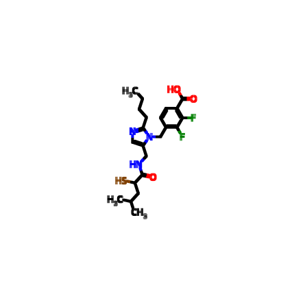 CCCCc1ncc(CNC(=O)C(S)CC(C)C)n1Cc1ccc(C(=O)O)c(F)c1F